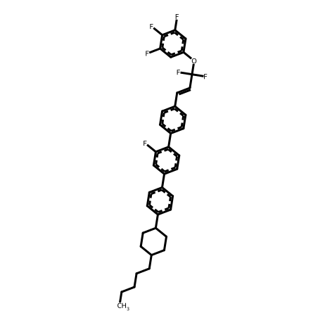 CCCCCC1CCC(c2ccc(-c3ccc(-c4ccc(/C=C/C(F)(F)Oc5cc(F)c(F)c(F)c5)cc4)c(F)c3)cc2)CC1